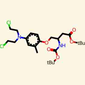 Cc1cc(N(CCCl)CCCl)ccc1OCC(CC(=O)OC(C)(C)C)NC(=O)OC(C)(C)C